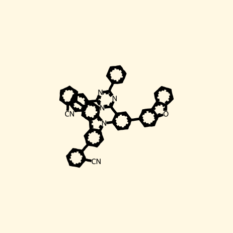 N#Cc1ccccc1-c1ccc2c(c1)c1cc(-c3ccccc3C#N)ccc1n2-c1ccc(-c2ccc3oc4ccccc4c3c2)cc1-c1nc(-c2ccccc2)nc(-c2ccccc2)n1